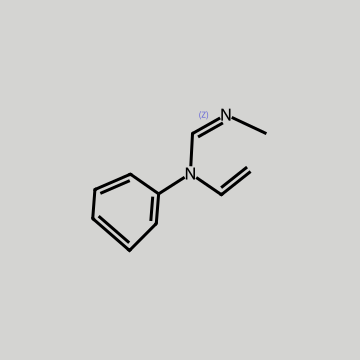 C=CN(/C=N\C)c1ccccc1